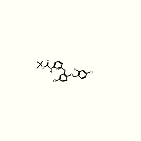 CC(C)(C)OC(=O)Nc1cccc(Cc2cc(Cl)ccc2OCc2ccc(Cl)cc2F)n1